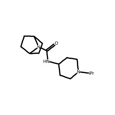 CC(C)N1CCC(NC(=O)N2C3CCC2CC3)CC1